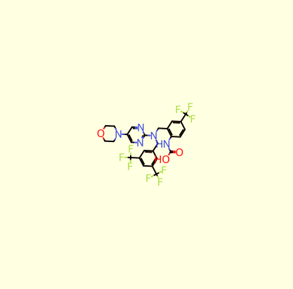 O=C(O)Nc1ccc(C(F)(F)F)cc1CN(Cc1cc(C(F)(F)F)cc(C(F)(F)F)c1)c1ncc(N2CCOCC2)cn1